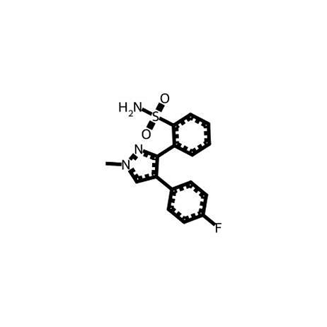 Cn1cc(-c2ccc(F)cc2)c(-c2ccccc2S(N)(=O)=O)n1